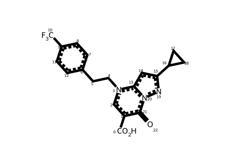 O=C(O)c1cn(CCc2ccc(C(F)(F)F)cc2)c2cc(C3CC3)nn2c1=O